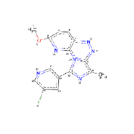 COc1ccc2nnc3c(C)nc(-c4cncc(F)c4)n3c2n1